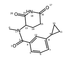 CN(C(=O)c1cccc(C2CC2)c1)C1CCC(=O)NC1=O